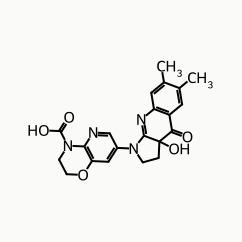 Cc1cc2c(cc1C)C(=O)C1(O)CCN(c3cnc4c(c3)OCCN4C(=O)O)C1=N2